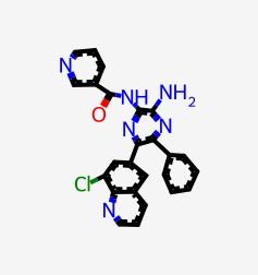 Nc1nc(-c2ccccc2)c(-c2cc(Cl)c3ncccc3c2)nc1NC(=O)c1cccnc1